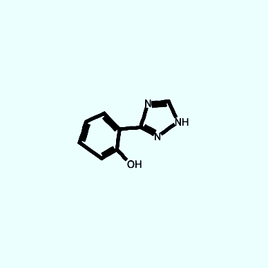 Oc1ccccc1-c1nc[nH]n1